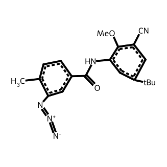 COc1c(C#N)cc(C(C)(C)C)cc1NC(=O)c1ccc(C)c(N=[N+]=[N-])c1